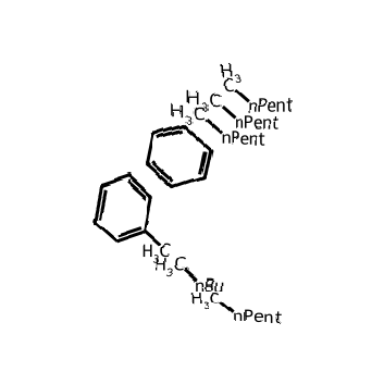 CCCCC.CCCCCC.CCCCCC.CCCCCC.CCCCCC.Cc1ccccc1.c1ccccc1